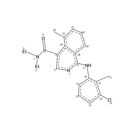 CCN(CC)C(=O)c1cnc(Nc2cccc(Cl)c2C)c2cccc(C)c12